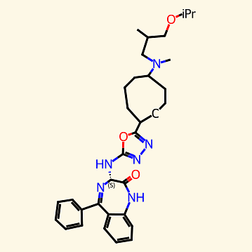 CC(COC(C)C)CN(C)C1CCCC(c2nnc(N[C@H]3N=C(c4ccccc4)c4ccccc4NC3=O)o2)CCC1